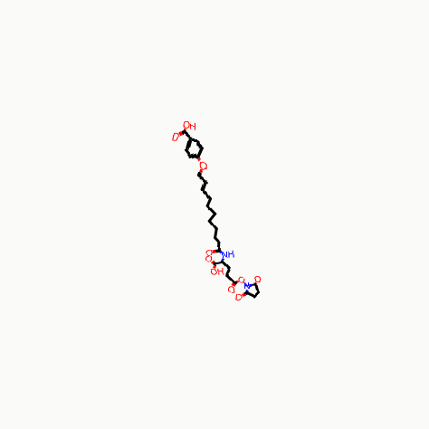 O=C(CCCCCCCCCCOc1ccc(C(=O)O)cc1)NC(CCC(=O)ON1C(=O)CCC1=O)C(=O)O